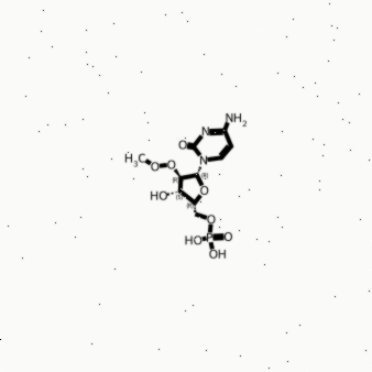 COO[C@@H]1[C@@H](O)[C@@H](COP(=O)(O)O)O[C@H]1n1ccc(N)nc1=O